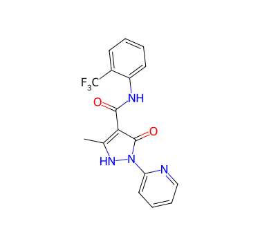 Cc1[nH]n(-c2ccccn2)c(=O)c1C(=O)Nc1ccccc1C(F)(F)F